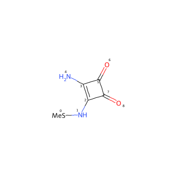 CSNc1c(N)c(=O)c1=O